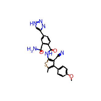 COc1ccc(-c2c(C)sc(NC(=O)c3ccc(-c4c[nH]nn4)cc3C(N)=O)c2C#N)cc1